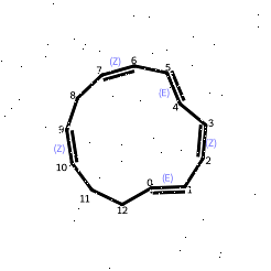 [C]1=C/C=C\C=C\C=C/C/C=C\CC/1